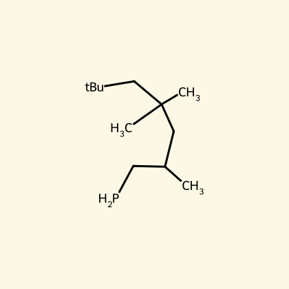 CC(CP)CC(C)(C)CC(C)(C)C